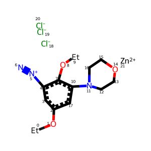 CCOc1cc([N+]#N)c(OCC)c(N2CCOCC2)c1.[Cl-].[Cl-].[Cl-].[Zn+2]